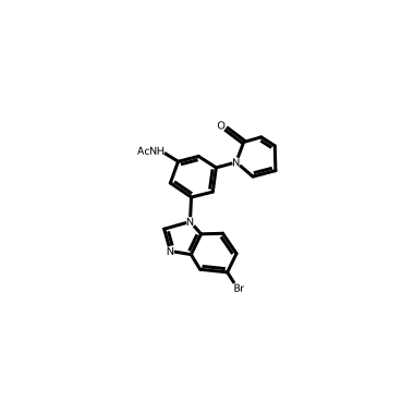 CC(=O)Nc1cc(-n2ccccc2=O)cc(-n2cnc3cc(Br)ccc32)c1